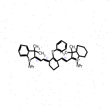 CCCN1/C(=C/C=C2\CCCC(/C=C/C3=[N+](CCC)C4CCCCC4C3(C)C)=C2Sc2ccccc2)C(C)(C)c2ccccc21